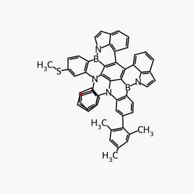 CSc1ccc2c(c1)N(c1ccccc1)c1c3c(c4c5c1N(c1ccccc1)c1cc(-c6c(C)cc(C)cc6C)ccc1B5n1ccc5cccc-4c51)-c1cccc4ccn(c14)B23